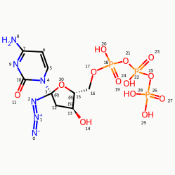 [N-]=[N+]=N[C@]1(n2ccc(N)nc2=O)C[C@H](O)[C@@H](COP(=O)(O)OP(=O)(O)OP(=O)(O)O)O1